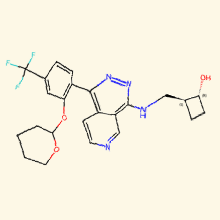 O[C@@H]1CC[C@H]1CNc1nnc(-c2ccc(C(F)(F)F)cc2OC2CCCCO2)c2ccncc12